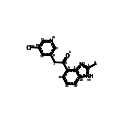 Cc1nc2c(C(=O)Cc3cncc(Cl)c3)cccc2[nH]1